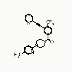 O=C(c1ccc(C(F)(F)F)c(C#Cc2ccccn2)c1)N1CCN(c2ccc(C(F)(F)F)cn2)CC1